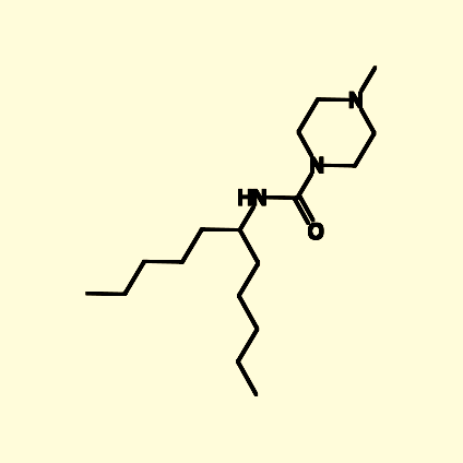 CCCCCC(CCCCC)NC(=O)N1CCN(C)CC1